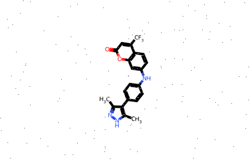 Cc1n[nH]c(C)c1-c1ccc(Nc2ccc3c(C(F)(F)F)cc(=O)oc3c2)cc1